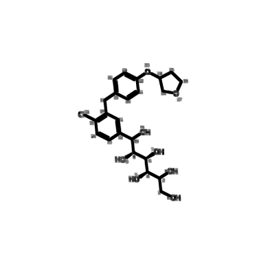 OCC(O)[C@@H](O)[C@H](O)[C@@H](O)C(O)c1ccc(Cl)c(Cc2ccc(OC3CCOC3)cc2)c1